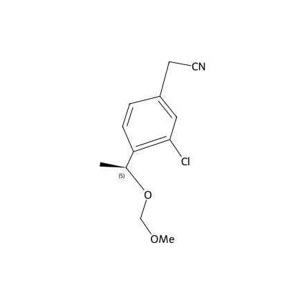 COCO[C@@H](C)c1ccc(CC#N)cc1Cl